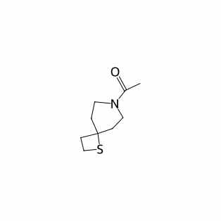 CC(=O)N1CCC2(CCS2)CC1